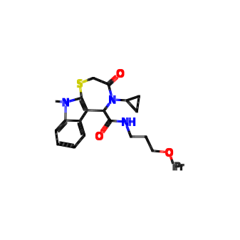 CC(C)OCCCNC(=O)C1c2c(n(C)c3ccccc23)SCC(=O)N1C1CC1